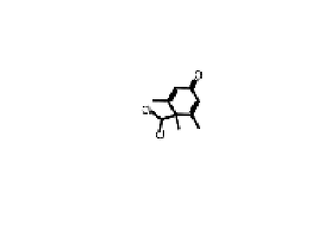 CC1=CC(=O)C=C(C)C1(C)C(Cl)Cl